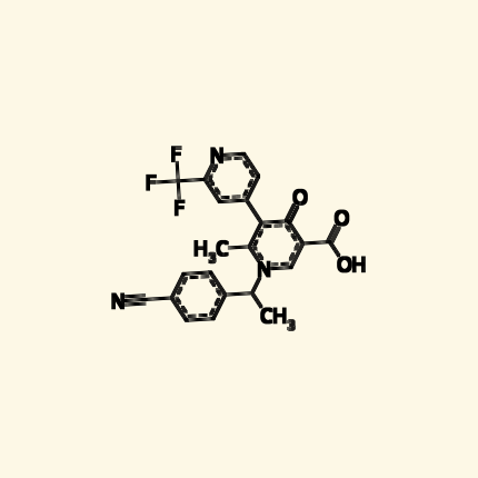 Cc1c(-c2ccnc(C(F)(F)F)c2)c(=O)c(C(=O)O)cn1C(C)c1ccc(C#N)cc1